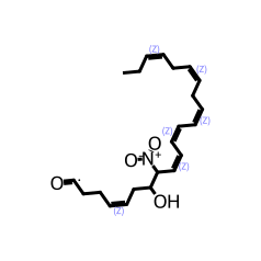 CC/C=C\C/C=C\C\C=C/C=C\C=C/C(C(O)C/C=C\CC[C]=O)[N+](=O)[O-]